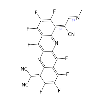 C/N=C/C(C#N)=c1\c(F)c(F)c(F)c2c(F)c3nc4c(=C(C#N)C#N)c(F)c(F)c(F)c4c(F)c3nc12